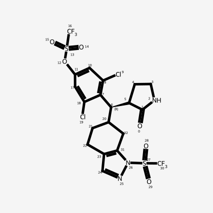 O=C1NCCC1[C@H](c1c(Cl)cc(OS(=O)(=O)C(F)(F)F)cc1Cl)C1CCc2cnn(S(=O)(=O)C(F)(F)F)c2C1